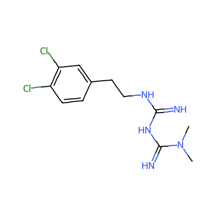 CN(C)C(=N)NC(=N)NCCc1ccc(Cl)c(Cl)c1